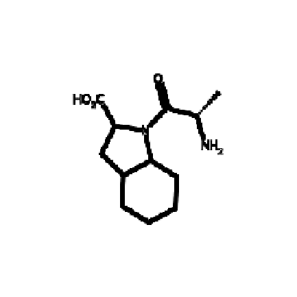 C[C@H](N)C(=O)N1C(C(=O)O)CC2CCCCC21